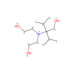 CC(C)C(CO)(C(C)C)N(CCO)CCO